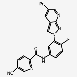 CC(C)c1cnc2nn(-c3cc(NC(=O)c4ccc(C#N)cn4)ccc3F)cc2c1